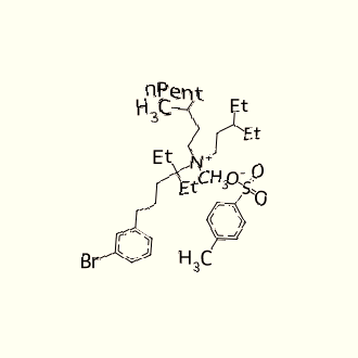 CCCCCC(C)CC[N+](C)(CCC(CC)CC)C(CC)(CC)CCCc1cccc(Br)c1.Cc1ccc(S(=O)(=O)[O-])cc1